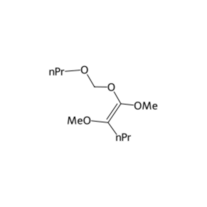 CCCOCOC(OC)=C(CCC)OC